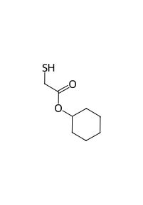 O=C(CS)OC1CCCCC1